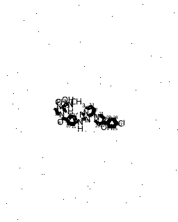 CNC(O)C1CN(C(=O)c2ccc(Nc3nc4c(N5CCC(O)(c6ccc(Cl)cc6)CC5)cccn4n3)cc2)CCN1C